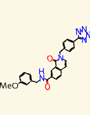 COc1cccc(CNC(=O)c2ccc3ccn(Cc4ccc(-c5nn[nH]n5)cc4)c(=O)c3c2)c1